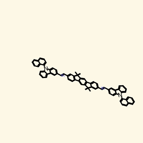 CC1(C)c2cc(/C=C/c3ccc4c(c3)c3ccccc3n4-c3cccc4ccccc34)ccc2-c2cc3c(cc21)-c1ccc(/C=C/c2ccc4c(c2)c2ccccc2n4-c2cccc4ccccc24)cc1C3(C)C